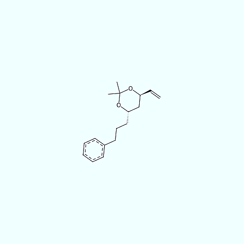 C=C[C@H]1C[C@H](CCCc2ccccc2)OC(C)(C)O1